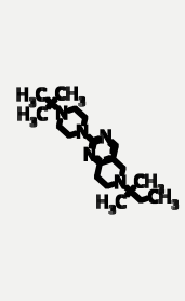 CCC(C)(C)N1CCc2nc(N3CCN(C(C)(C)C)CC3)ncc2C1